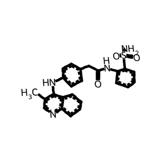 Cc1cnc2ccccc2c1Nc1ccc(CC(=O)Nc2ccccc2S(N)(=O)=O)cc1